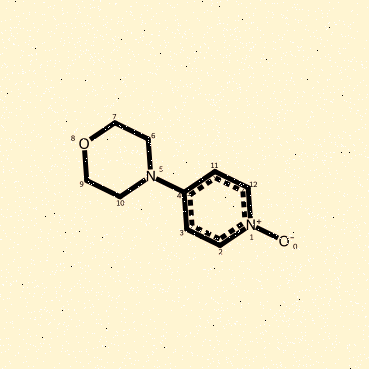 [O-][n+]1ccc(N2CCOCC2)cc1